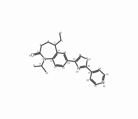 CCC1CCC(=O)N(C(C)C)c2ccc(-c3csc(-c4ccncc4)n3)cc21